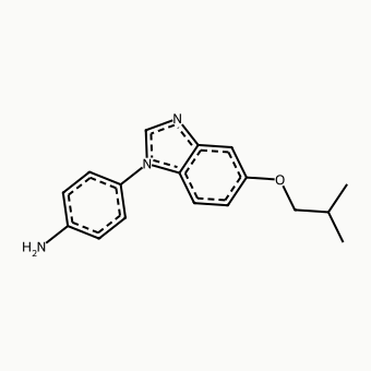 CC(C)COc1ccc2c(c1)ncn2-c1ccc(N)cc1